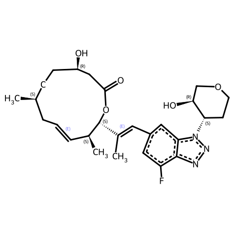 C/C(=C\c1cc(F)c2nnn([C@H]3CCOC[C@@H]3O)c2c1)[C@H]1OC(=O)C[C@H](O)CC[C@H](C)C/C=C/[C@@H]1C